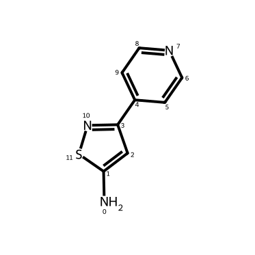 Nc1cc(-c2ccncc2)ns1